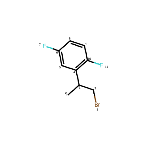 [CH2]C(CBr)c1cc(F)ccc1F